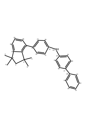 CC1(C)CC(C)(C)c2c(-c3ccc(Nc4ccc(-c5ccccc5)cc4)cc3)cccc21